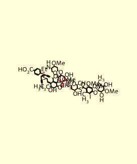 CC#C/C=C\C#C[C@H](O[C@@H]1O[C@H](C)[C@@H](NO[C@H]2C[C@H](O)[C@H](SC(=O)c3c(C)c(I)c(O[C@@H]4O[C@@H](C)[C@H](O)[C@@H](OC)[C@H]4O)c(OC)c3OC)[C@@H](C)O2)[C@H](O)[C@H]1O[C@H]1C[C@H](OC)[C@@H](NCC)CO1)C1=C(NC(=O)OC)C(=O)C[C@](C)(O)/C1=C/CSSc1ccc(C(=O)O)cc1